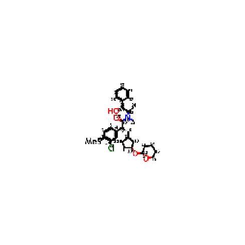 CSc1ccc([C@@H](CC2CCC(OC3CCCCO3)C2)C(=O)N(C)[C@H](C)[C@H](O)c2ccccc2)cc1Cl